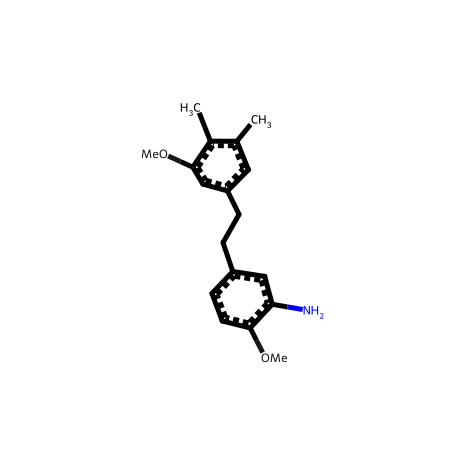 COc1ccc(CCc2cc(C)c(C)c(OC)c2)cc1N